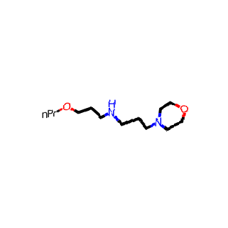 CCCOCCCNCCCN1CCOCC1